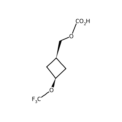 O=C(O)OC[C@H]1C[C@@H](OC(F)(F)F)C1